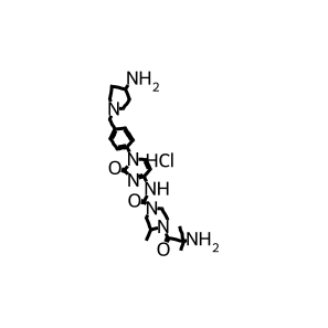 CC1CN(C(=O)Nc2ccn(-c3ccc(CN4CCC(N)CC4)cc3)c(=O)n2)CCN1C(=O)C(C)(C)N.Cl